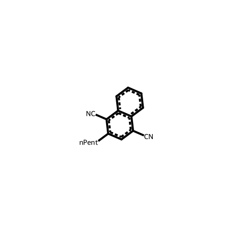 CCCCCc1cc(C#N)c2ccccc2c1C#N